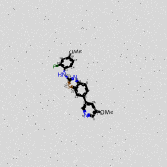 COc1cncc(-c2ccc3nc(Nc4ccc(OC)cc4F)sc3c2)c1